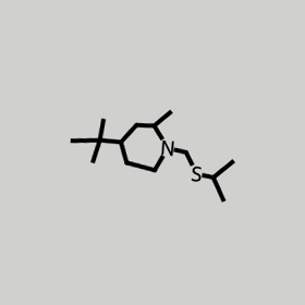 CC(C)SCN1CCC(C(C)(C)C)CC1C